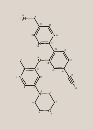 Cc1ncc(N2CCOCC2)cc1Oc1cc(C#N)ccc1-c1ncc(CN)cn1